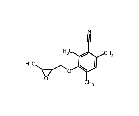 Cc1cc(C)c(OCC2OC2C)c(C)c1C#N